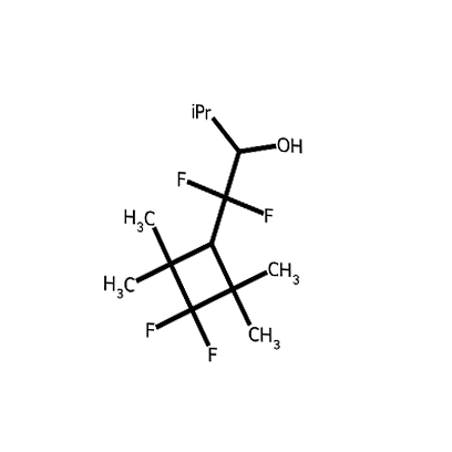 CC(C)C(O)C(F)(F)C1C(C)(C)C(F)(F)C1(C)C